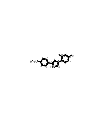 COc1ccc(-c2cc(-c3ccc(C)cc3C)c[nH]2)cc1